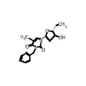 CC[C@H]1O[C@@H](n2cc(C)c(=O)n(Cc3ccccc3)c2=O)CC1O